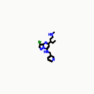 CCC(CCNC)c1cc(NCc2cccnc2)n2ncc(Br)c2n1